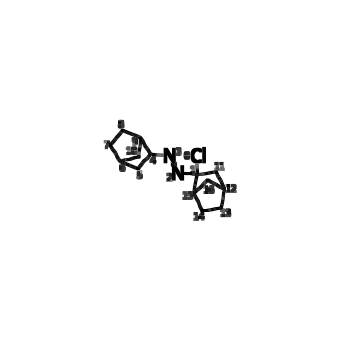 ClC1(N=NC2CC3CCC2C3)CC2CCC1C2